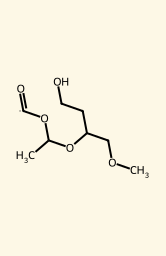 COCC(CCO)OC(C)O[C]=O